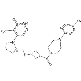 N#Cc1ccc(N2CCN(C(=O)C3CC(OC[C@@H]4CCCN4c4cn[nH]c(=O)c4C(F)(F)F)C3)CC2)nc1